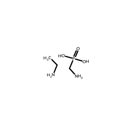 CCN.NCP(=O)(O)O